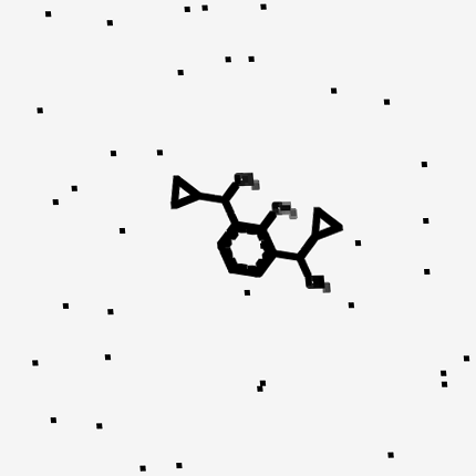 Cc1c(C(C)C2CC2)cccc1C(C)C1CC1